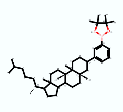 CC(C)CCC[C@@H](C)C1CCC2C3CC[C@H]4CC(c5cccc(B6OC(C)(C)C(C)(C)O6)c5)CCC4(C)[C@H]3CCC21C